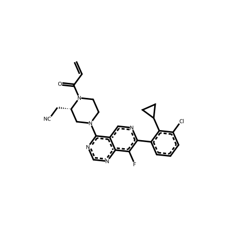 C=CC(=O)N1CCN(c2ncnc3c(F)c(-c4cccc(Cl)c4C4CC4)ncc23)C[C@@H]1CC#N